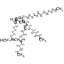 C#CCN(C)CCCCCCO[Si](C)(C)OC(CCCCCCCCCCCCCCC)OCC(CCCCCCCC)SSCCCCCCCCCC